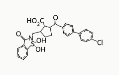 O=C(c1ccc(-c2ccc(Cl)cc2)cc1)C1CCC(CN2C(=O)c3ccccc3S2(O)O)C1C(=O)O